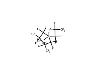 FC(F)(F)C(F)(C(F)(F)F)C(F)(F)P(F)(F)(C(F)(F)C(F)(C(F)(F)F)C(F)(F)F)C(F)(F)C(F)(C(F)(F)F)C(F)(F)F